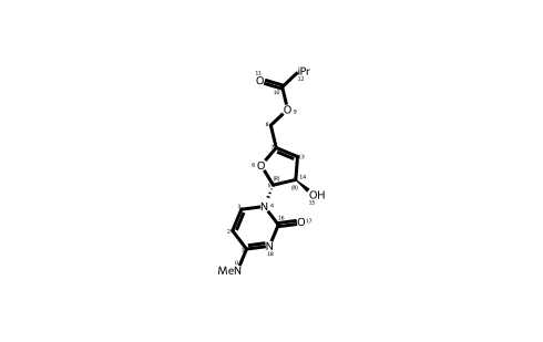 CNc1ccn([C@@H]2OC(COC(=O)C(C)C)=C[C@H]2O)c(=O)n1